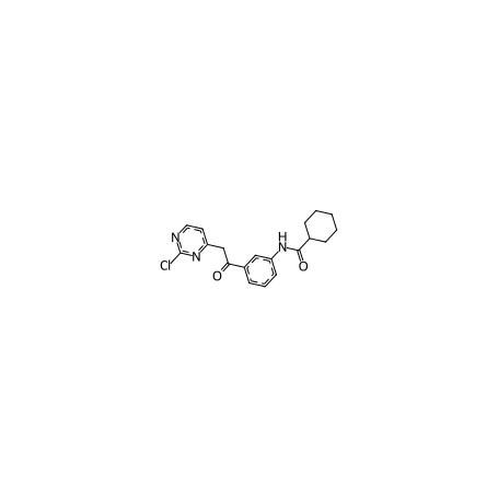 O=C(Cc1ccnc(Cl)n1)c1cccc(NC(=O)C2CCCCC2)c1